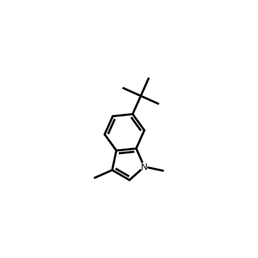 Cc1cn(C)c2cc(C(C)(C)C)ccc12